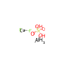 O=S(=O)(O)O.[AlH3].[F][Ca][F]